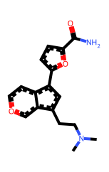 CN(C)CCc1cc(-c2ccc(C(N)=O)o2)c2ccocc1-2